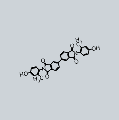 Cc1cc(O)ccc1N1C(=O)c2ccc(-c3ccc4c(c3)C(=O)N(c3ccc(O)cc3C)C4=O)cc2C1=O